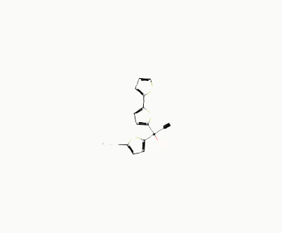 C#CC(O)(c1ccc(OC)s1)c1ccc(-c2cccs2)s1